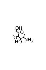 COC1C(CO)OCC(N)C1O